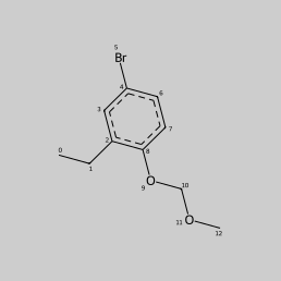 CCc1cc(Br)ccc1OCOC